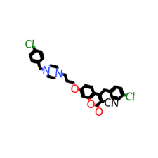 N#Cc1c(Cc2ccc(Cl)cc2)c2ccc(OCCCN3CCN(Cc4ccc(Cl)cc4)CC3)cc2oc1=O